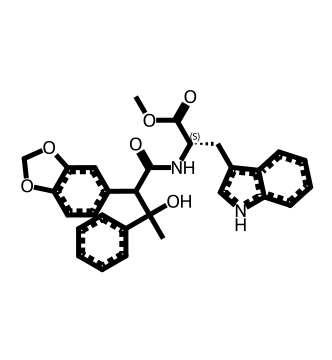 COC(=O)[C@H](Cc1c[nH]c2ccccc12)NC(=O)C(c1ccc2c(c1)OCO2)C(C)(O)c1ccccc1